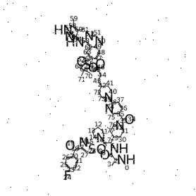 CN[C@@H](C)C(=O)N[C@H](C(=O)N1CCC[C@H]1c1nc(C(=O)c2ccc(F)cc2)cs1)C1CCN(C(=O)c2ccc(N3CCC(CCCOc4cc5ncnc(Nc6n[nH]c(C)c6C)c5cc4S(=O)(=O)C(C)(C)C)CC3)nc2)CC1